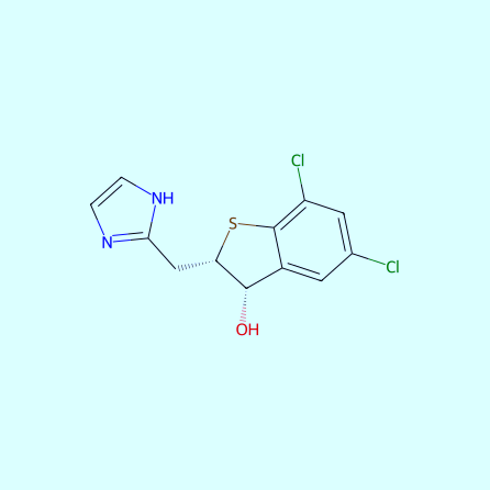 O[C@H]1c2cc(Cl)cc(Cl)c2S[C@H]1Cc1ncc[nH]1